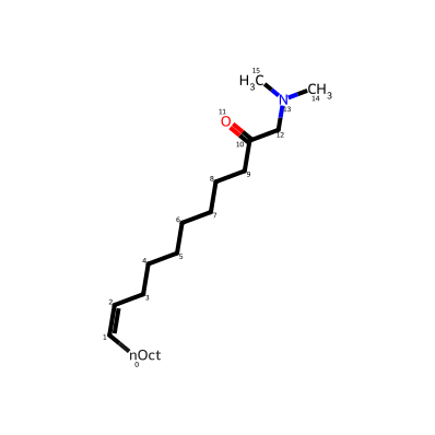 CCCCCCCC/C=C\CCCCCCCC(=O)CN(C)C